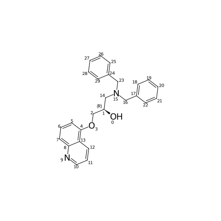 O[C@@H](COc1cccc2ncccc12)CN(Cc1ccccc1)Cc1ccccc1